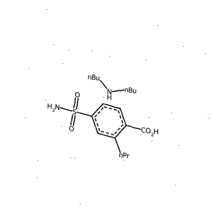 CCCCNCCCC.CCCc1cc(S(N)(=O)=O)ccc1C(=O)O